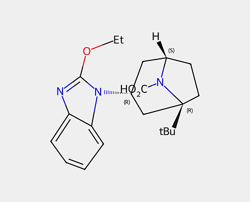 CCOc1nc2ccccc2n1[C@@H]1C[C@@H]2CC[C@](C(C)(C)C)(C1)N2C(=O)O